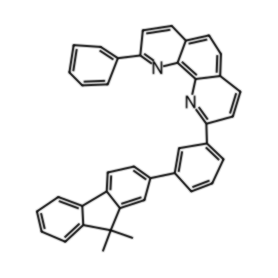 CC1(C)c2ccccc2-c2ccc(-c3cccc(-c4ccc5ccc6ccc(-c7ccccc7)nc6c5n4)c3)cc21